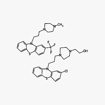 CN1CCN(CCCN2c3ccccc3Sc3ccc(C(F)(F)F)cc32)CC1.OCCN1CCN(CCCN2c3ccccc3Sc3ccc(Cl)cc32)CC1